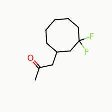 CC(=O)CC1CCCCCC(F)(F)C1